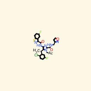 CC(=O)Cn1c(C(=O)NCc2ccon2)nc(NC(=O)c2nsc3ccc(F)cc23)c1[C@@H](C)c1cc(F)ccc1Cl